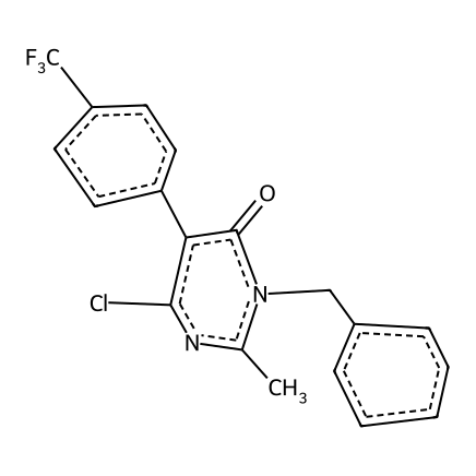 Cc1nc(Cl)c(-c2ccc(C(F)(F)F)cc2)c(=O)n1Cc1ccccc1